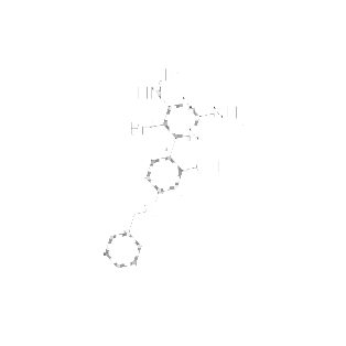 Cc1cc(SCc2ccccc2)ccc1-c1nc(N)nc(NC(C)C)c1Br